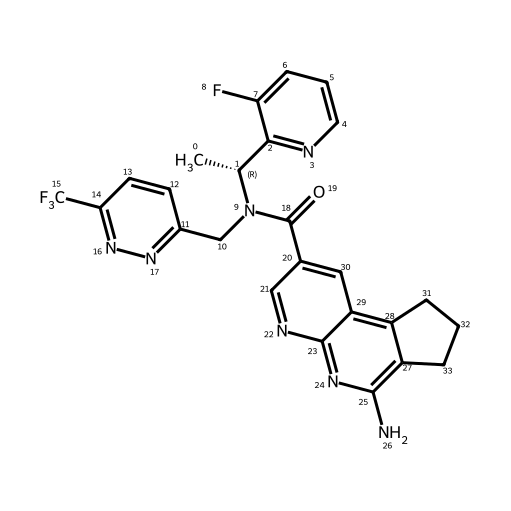 C[C@H](c1ncccc1F)N(Cc1ccc(C(F)(F)F)nn1)C(=O)c1cnc2nc(N)c3c(c2c1)CCC3